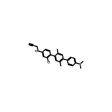 C#CCNc1ccc(-c2cc(C)c(-c3ccc(N(C)C)cc3)cc2C)c(Cl)c1